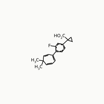 CC1(C)C=CC=C(c2ccc(C3(C(=O)O)CC3)cc2F)C=C1